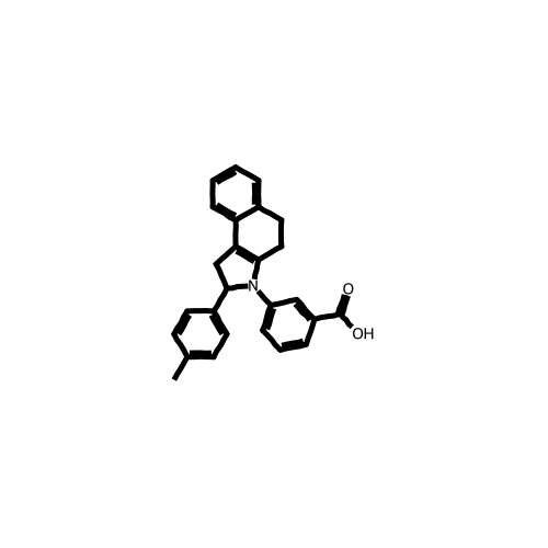 Cc1ccc(C2CC3=C(CCc4ccccc43)N2c2cccc(C(=O)O)c2)cc1